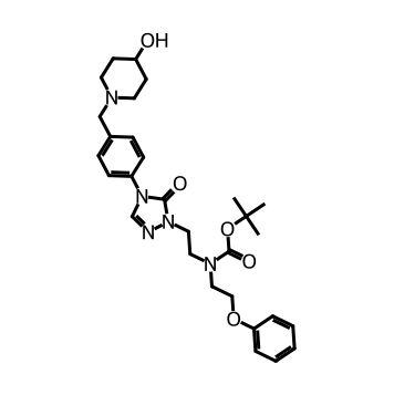 CC(C)(C)OC(=O)N(CCOc1ccccc1)CCn1ncn(-c2ccc(CN3CCC(O)CC3)cc2)c1=O